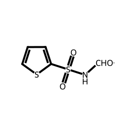 O=[C]NS(=O)(=O)c1cccs1